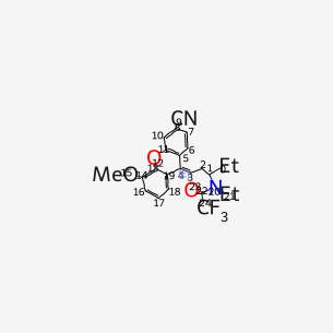 CCC(C/C=C1\c2ccc(C#N)cc2Oc2c(OC)cccc21)N(CC)C(=O)C(F)(F)F